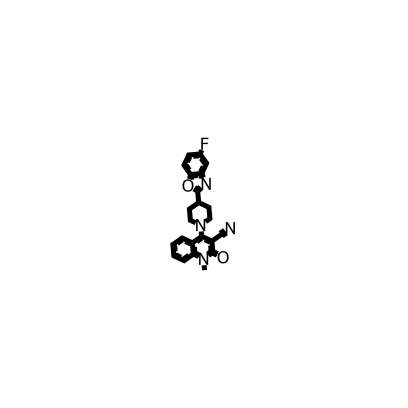 Cn1c(=O)c(C#N)c(N2CCC(c3nc4cc(F)ccc4o3)CC2)c2ccccc21